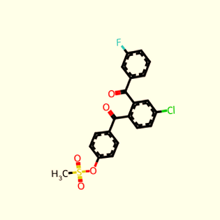 CS(=O)(=O)Oc1ccc(C(=O)c2ccc(Cl)cc2C(=O)c2cccc(F)c2)cc1